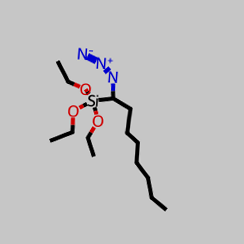 CCCCCCCC(N=[N+]=[N-])[Si](OCC)(OCC)OCC